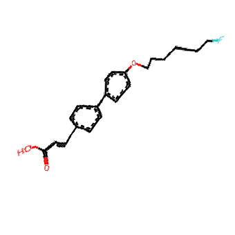 O=C(O)C=Cc1ccc(-c2ccc(OCCCCCCF)cc2)cc1